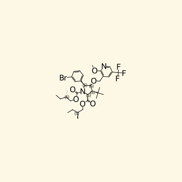 CC[C@H](C)COC(=O)[C@@H]1[C@H](C(C)(C)C)[C@H](OCc2cc(C(F)(F)F)cnc2OC)[C@H](c2cccc(Br)c2)N1C(=O)OC[C@@H](C)CC